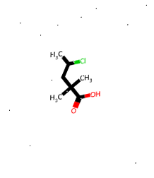 CC(Cl)CC(C)(C)C(=O)O